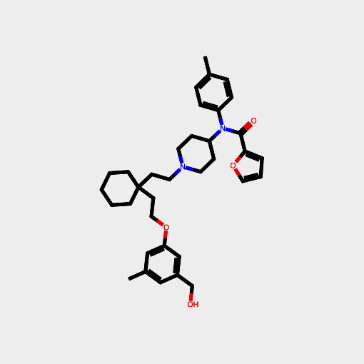 Cc1ccc(N(C(=O)c2ccco2)C2CCN(CCC3(CCOc4cc(C)cc(CO)c4)CCCCC3)CC2)cc1